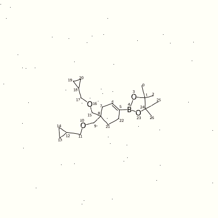 CC1(C)OB(C2=CCC(COCC3CC3)(COCC3CC3)CC2)OC1(C)C